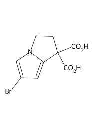 O=C(O)C1(C(=O)O)CCn2cc(Br)cc21